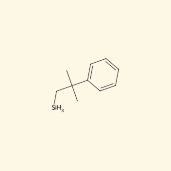 CC(C)(C[SiH3])c1ccccc1